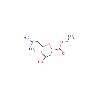 CCOC(=O)C(CC(=O)O)OCCN(C)C